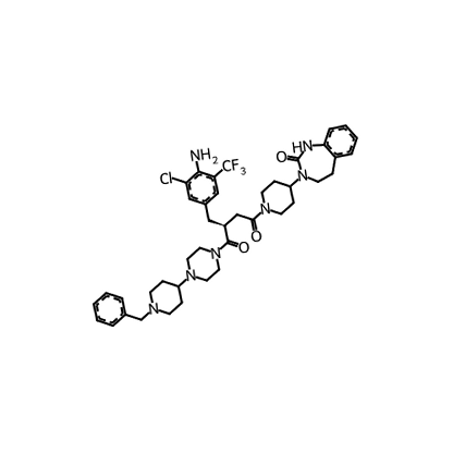 Nc1c(Cl)cc(C[C@@H](CC(=O)N2CCC(N3CCc4ccccc4NC3=O)CC2)C(=O)N2CCN(C3CCN(Cc4ccccc4)CC3)CC2)cc1C(F)(F)F